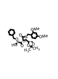 COc1ccc(CN2C(=O)[C@@H](C(=O)N(O)OCc3ccccc3)[C@H]2[C@@H]2COC(C)(C)O2)c(OC)c1